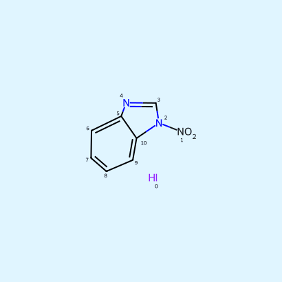 I.O=[N+]([O-])n1cnc2ccccc21